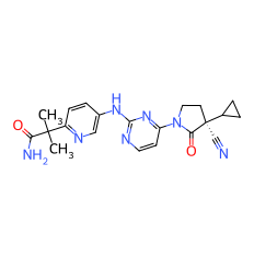 CC(C)(C(N)=O)c1ccc(Nc2nccc(N3CC[C@@](C#N)(C4CC4)C3=O)n2)cn1